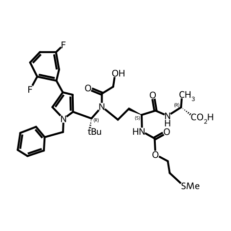 CSCCOC(=O)N[C@@H](CCN(C(=O)CO)[C@@H](c1cc(-c2cc(F)ccc2F)cn1Cc1ccccc1)C(C)(C)C)C(=O)N[C@H](C)C(=O)O